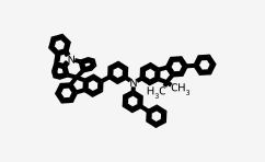 CC1(C)c2cc(-c3ccccc3)ccc2-c2ccc(N(c3cccc(-c4ccccc4)c3)c3cccc(-c4ccc5c(c4)C4(c6ccccc6-5)c5ccccc5-n5c6ccccc6c6cccc4c65)c3)cc21